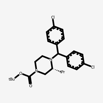 CC(C)[C@@H]1CN(C(=O)OC(C)(C)C)CCN1C(c1ccc(Cl)cc1)c1ccc(Cl)cc1